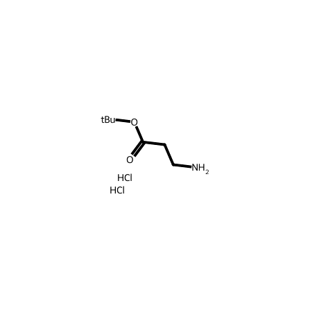 CC(C)(C)OC(=O)CCN.Cl.Cl